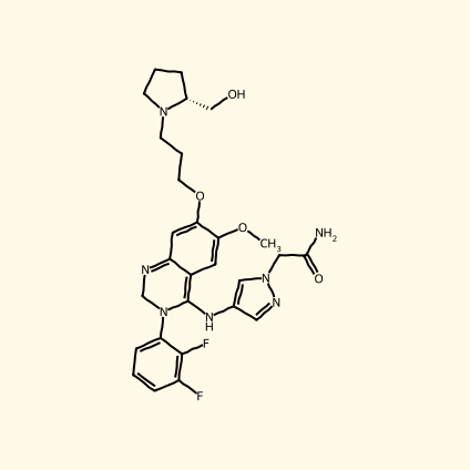 COc1cc2c(cc1OCCCN1CCC[C@@H]1CO)=NCN(c1cccc(F)c1F)C=2Nc1cnn(CC(N)=O)c1